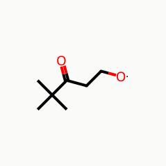 CC(C)(C)C(=O)CC[O]